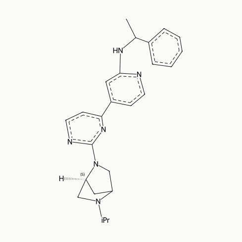 CC(Nc1cc(-c2ccnc(N3CC4C[C@H]3CN4C(C)C)n2)ccn1)c1ccccc1